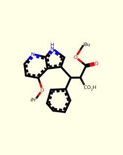 CCC(C)OC(=O)C(C(=O)O)C(c1ccccc1)c1c[nH]c2nccc(OC(C)C)c12